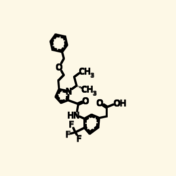 CC[C@H](C)n1c(CCOCc2ccccc2)ccc1C(=O)Nc1cc(CC(=O)O)ccc1C(F)(F)F